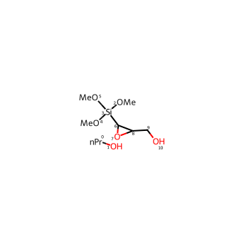 CCCO.CO[Si](OC)(OC)C1OC1CO